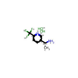 C[C@@H](N)c1ccc(C(F)(F)F)nc1.Cl.Cl